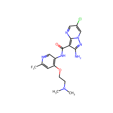 CN(C)CCOc1cc(C(F)(F)F)ncc1NC(=O)c1c(N)nn2cc(Cl)cnc12